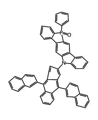 O=P1(c2ccccc2)c2ccccc2-c2cc3c(cc21)c1ccccc1n3-c1ccc2c(-c3ccc4ccccc4c3)c3ccccc3c(-c3ccc4ccccc4c3)c2c1